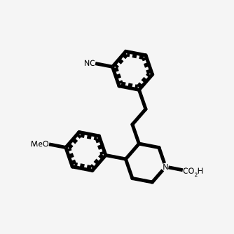 COc1ccc(C2CCN(C(=O)O)CC2CCc2cccc(C#N)c2)cc1